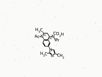 CC(=O)N1c2ccc(-n3cc(C)nc3C)cc2[C@H](N(C(=O)O)C(C)C)C[C@@H]1C